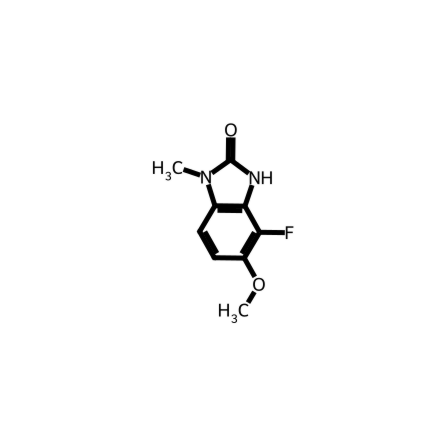 COc1ccc2c([nH]c(=O)n2C)c1F